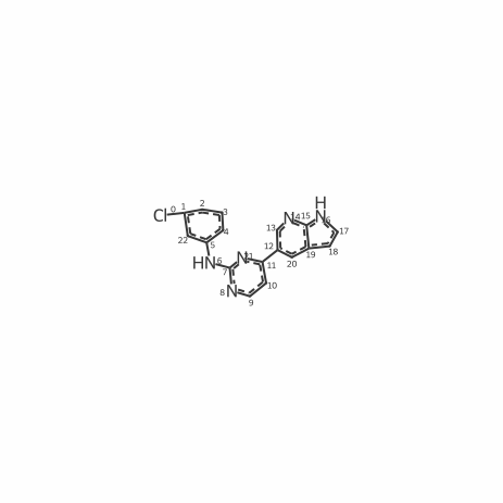 Clc1cccc(Nc2nccc(-c3cnc4[nH]ccc4c3)n2)c1